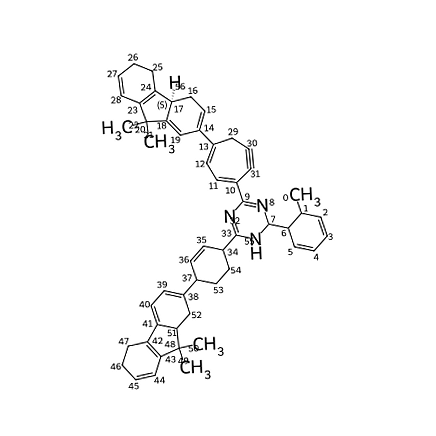 CC1C=CC=CC1C1N=C(C2=CC=C(C3=CC[C@H]4C(=C3)C(C)(C)C3=C4CCC=C3)CC#C2)N=C(C2C=CC(C3=CC=C4C5=C(C=CCC5)C(C)(C)C4C3)CC2)N1